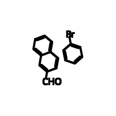 Brc1ccccc1.O=Cc1ccc2ccccc2c1